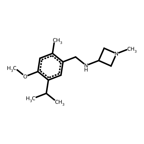 COc1cc(C)c(CNC2CN(C)C2)cc1C(C)C